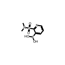 CN(C)S(=O)(=O)c1ncccc1B(O)O